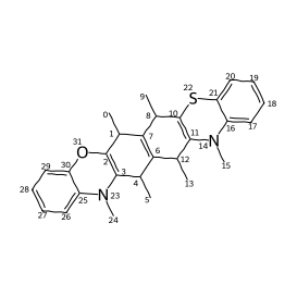 CC1C2=C(C(C)C3=C1C(C)C1=C(C3C)N(C)c3ccccc3S1)N(C)c1ccccc1O2